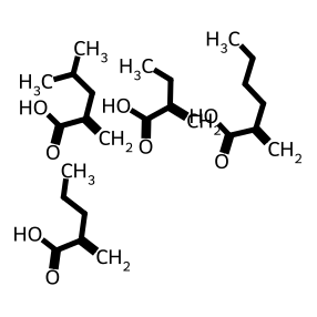 C=C(CC(C)C)C(=O)O.C=C(CC)C(=O)O.C=C(CCC)C(=O)O.C=C(CCCC)C(=O)O